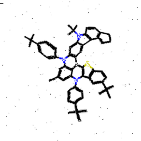 Cc1cc2c3c(c1)N(c1ccc(C(C)(C)C)cc1)c1c(sc4ccc(C(C)(C)C)cc14)B3c1cc3c4c5c(ccc4n(C(C)(C)C)c3cc1N2c1ccc(C(C)(C)C)cc1)CCC5